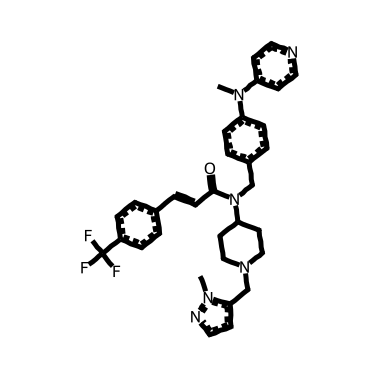 CN(c1ccncc1)c1ccc(CN(C(=O)/C=C/c2ccc(C(F)(F)F)cc2)C2CCN(Cc3ccnn3C)CC2)cc1